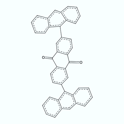 O=C1c2ccc(-c3c4ccccc4cc4ccccc34)cc2C(=O)c2ccc(-c3c4ccccc4cc4ccccc34)cc21